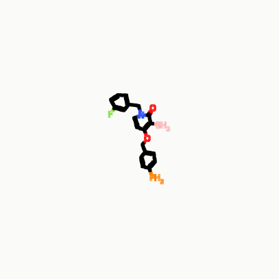 Bc1c(OCc2ccc(P)cc2)ccn(Cc2cccc(F)c2)c1=O